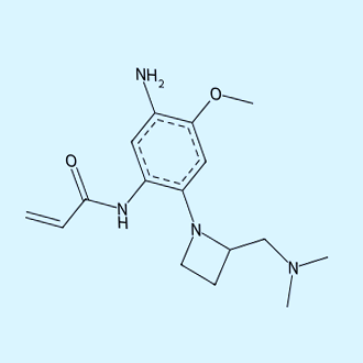 C=CC(=O)Nc1cc(N)c(OC)cc1N1CCC1CN(C)C